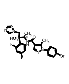 Cc1c(C(=O)N[C@H](C)[C@](O)(Cn2cncn2)c2ccc(F)cc2F)cnn1-c1ccc(Br)cc1